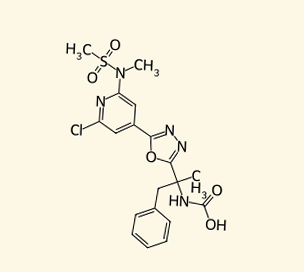 CN(c1cc(-c2nnc(C(C)(Cc3ccccc3)NC(=O)O)o2)cc(Cl)n1)S(C)(=O)=O